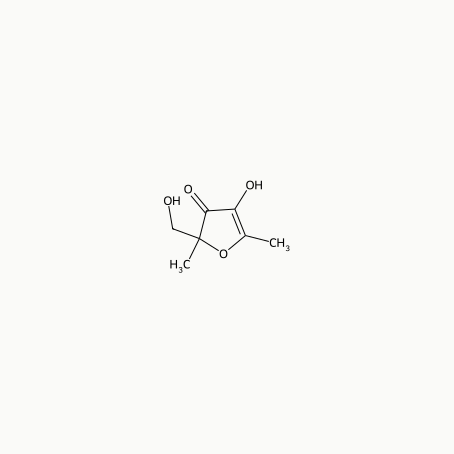 CC1=C(O)C(=O)C(C)(CO)O1